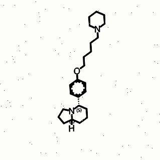 c1cc([C@@H]2CCC[C@@H]3CCCN32)ccc1OCCCCCN1CCCCC1